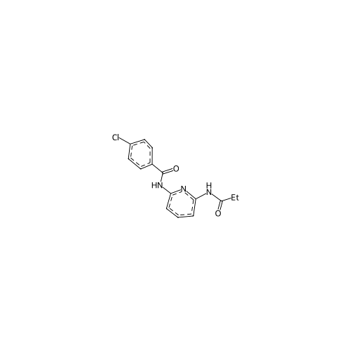 CCC(=O)Nc1cccc(NC(=O)c2ccc(Cl)cc2)n1